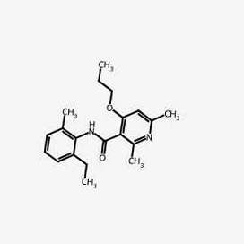 CCCOc1cc(C)nc(C)c1C(=O)Nc1c(C)cccc1CC